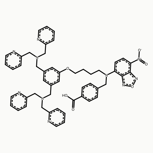 O=C(O)c1ccc(CN(CCCCOc2cc(CN(Cc3ccccn3)Cc3ccccn3)cc(CN(Cc3ccccn3)Cc3ccccn3)c2)c2ccc([N+](=O)[O-])c3nonc23)cc1